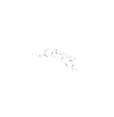 N#Cc1ccc(NC(=O)Nc2nc3ccc(OC(F)(F)F)cc3s2)c(Cl)c1